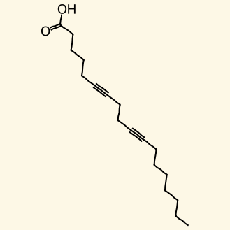 CCCCCCCC#CCCC#CCCCCC(=O)O